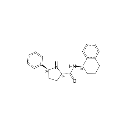 O=C(N[C@@H]1CCCc2ccccc21)[C@@H]1CC[C@@H](c2ccccc2)N1